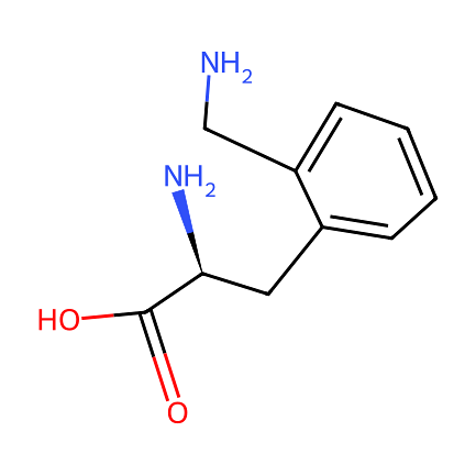 NCc1ccccc1C[C@H](N)C(=O)O